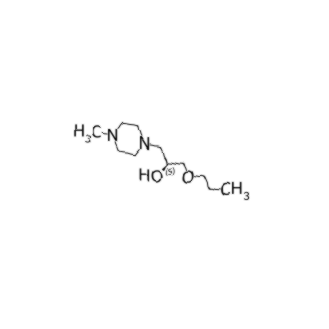 CCCOC[C@@H](O)CN1CCN(C)CC1